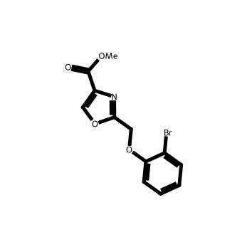 COC(=O)c1coc(COc2ccccc2Br)n1